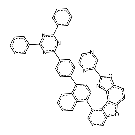 c1ccc(-c2nc(-c3ccccc3)nc(-c3ccc(-c4ccc(-c5cccc6oc7ccc8oc(-c9cnccn9)nc8c7c56)c5ccccc45)cc3)n2)cc1